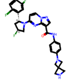 O=C(Nc1ccc(N2CC3(CNC3)C2)cc1)c1cnn2ccc(N3C[C@@H](F)C[C@@H]3c3cc(F)ccc3F)nc12